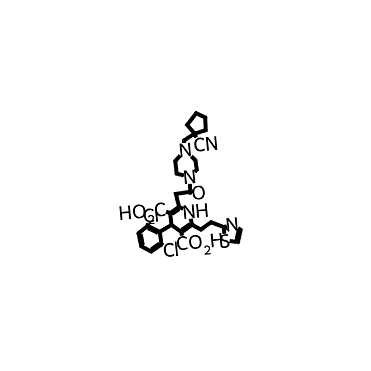 N#CC1(CN2CCN(C(=O)CC3=C(C(=O)O)C(c4c(Cl)cccc4Cl)C(C(=O)O)=C(CCc4nccs4)N3)CC2)CCCC1